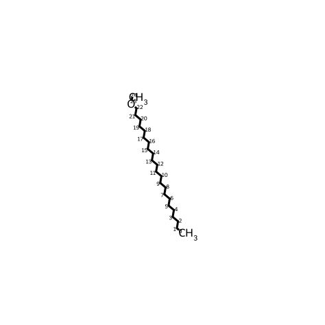 CCCCCCCCCCCCCCCCCCCCCC[CH]OC